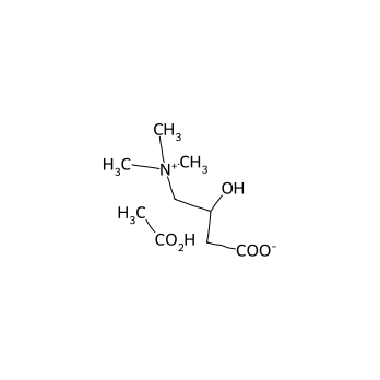 CC(=O)O.C[N+](C)(C)CC(O)CC(=O)[O-]